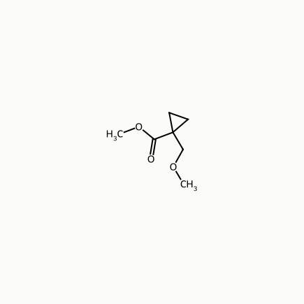 COCC1(C(=O)OC)CC1